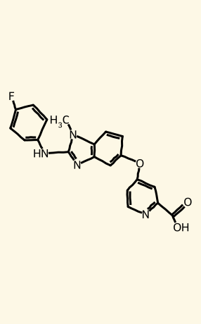 Cn1c(Nc2ccc(F)cc2)nc2cc(Oc3ccnc(C(=O)O)c3)ccc21